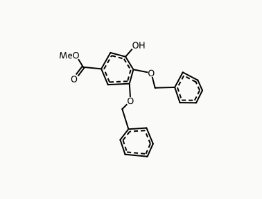 COC(=O)c1cc(O)c(OCc2ccccc2)c(OCc2ccccc2)c1